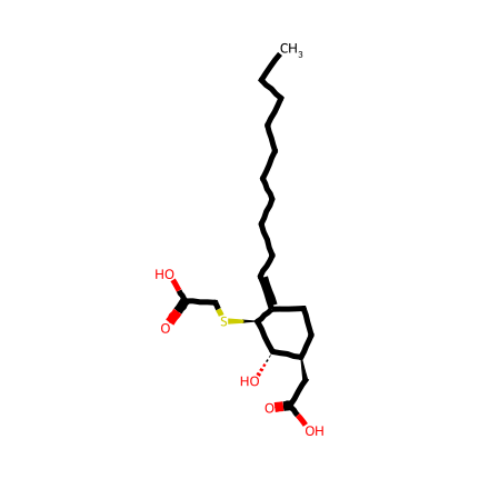 CCCCCCCCC/C=C1\CC[C@@H](CC(=O)O)[C@H](O)[C@H]1SCC(=O)O